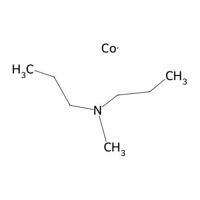 CCCN(C)CCC.[Co]